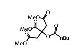 CCCCC(=O)OC(CC(=O)OC)(CC(=O)OC)C(=O)OC